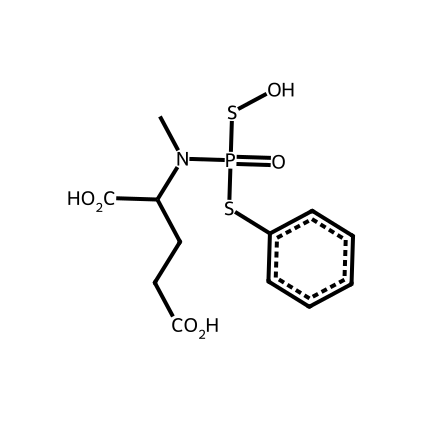 CN(C(CCC(=O)O)C(=O)O)P(=O)(SO)Sc1ccccc1